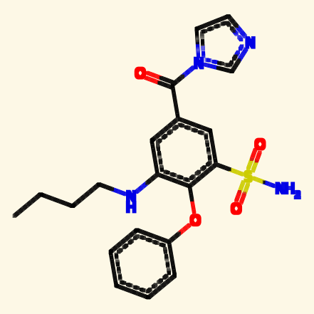 CCCCNc1cc(C(=O)n2ccnc2)cc(S(N)(=O)=O)c1Oc1ccccc1